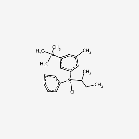 CCC(C)[Si](Cl)(c1ccccc1)c1cc(C)cc([Si](C)(C)C)c1